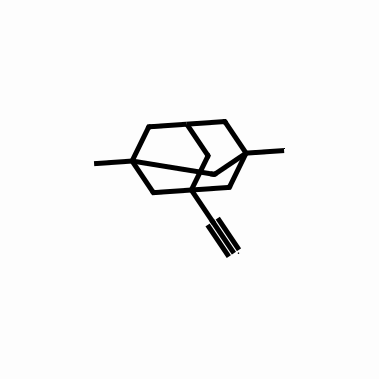 [C]#CC12CC3CC(C)(CC(C)(C3)C1)C2